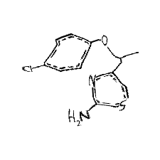 CC(Oc1ccc(Cl)cc1)c1csc(N)n1